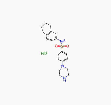 Cl.O=S(=O)(Nc1ccc2c(c1)CCCC2)c1ccc(N2CCNCC2)cc1